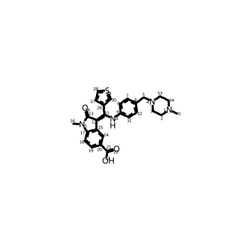 CN1CCN(Cc2ccc(NC(=C3C(=O)N(C)c4ccc(C(=O)O)cc43)c3ccsc3)cc2)CC1